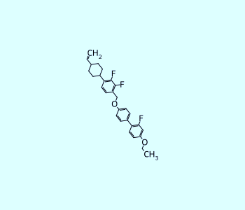 C=CC1CCC(c2ccc(COc3ccc(-c4ccc(OCC)cc4F)cc3)c(F)c2F)CC1